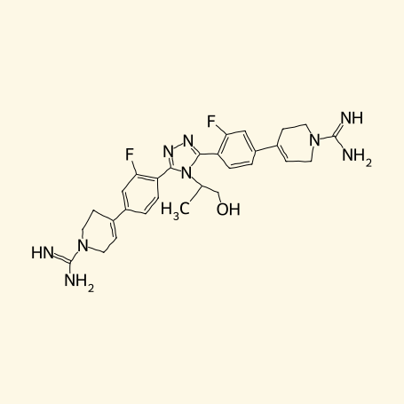 CC(CO)n1c(-c2ccc(C3=CCN(C(=N)N)CC3)cc2F)nnc1-c1ccc(C2=CCN(C(=N)N)CC2)cc1F